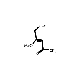 CO/C(=C\C(=O)C(F)(F)F)COC(C)=O